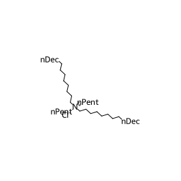 CCCCCCCCCCCCCCCCCC[N+](CCCCC)(CCCCC)CCCCCCCCCCCCCCCCCC.[Cl-]